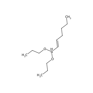 CCCCC=C[SiH](OCCC)OCCC